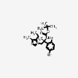 CCc1c(C)ncn1C[C@](C)(NC(=O)OC(C)(C)C)c1cc(Br)ccc1F